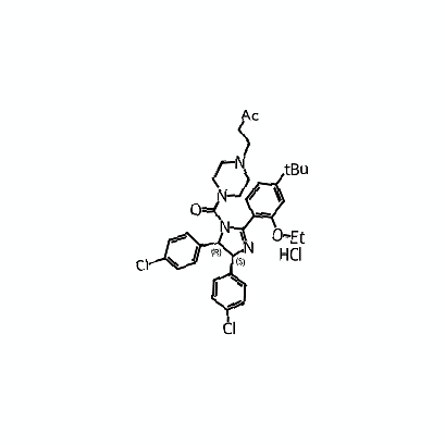 CCOc1cc(C(C)(C)C)ccc1C1=N[C@@H](c2ccc(Cl)cc2)[C@@H](c2ccc(Cl)cc2)N1C(=O)N1CCN(CCC(C)=O)CC1.Cl